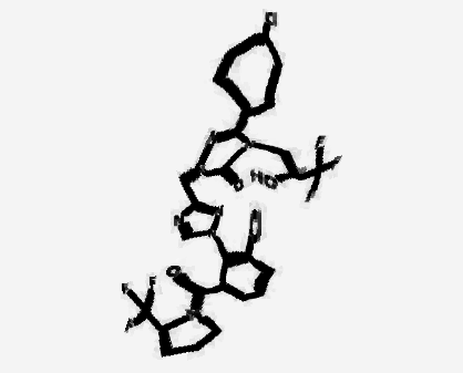 O=C(c1cccc(Cl)c1-n1cnc(Cn2nc(-c3ccc(Cl)cc3)n(C[C@H](O)C(F)(F)F)c2=O)n1)N1CCCC1C(F)(F)F